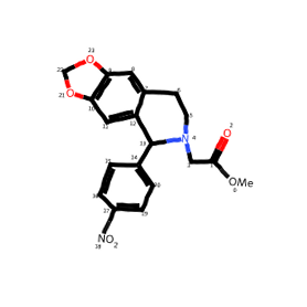 COC(=O)CN1CCc2cc3c(cc2C1c1ccc([N+](=O)[O-])cc1)OCO3